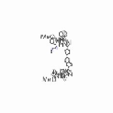 C=C(/C=C\C=C/C)[C@@H](NC(=O)OC)C(=O)N1CC2(C[C@H]1c1ncc(-c3ccc(-c4ccc5cc(-c6cnc(C7CCCN7C(=O)[C@@H](NC(=O)OC)C(C)C)[nH]6)ccc5c4)cc3)[nH]1)OCCO2